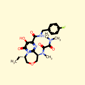 CC[C@H]1COC[C@H](N(C)C(=O)C(=O)N(C)C)c2nc(C(=O)NCc3ccc(F)cc3)c(O)c(=O)n21